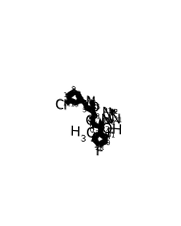 C[C@@H](OCc1cc(-c2cccc(Cl)c2)no1)C(O)(Cn1cncn1)c1ccc(F)cc1F